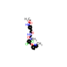 CCOC(=O)Nc1ccc(C=CC(=O)NCC(=O)N(C)c2ccc(Cl)c(COc3cccc4ccc(C)nc34)c2Cl)cc1